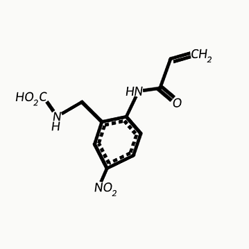 C=CC(=O)Nc1ccc([N+](=O)[O-])cc1CNC(=O)O